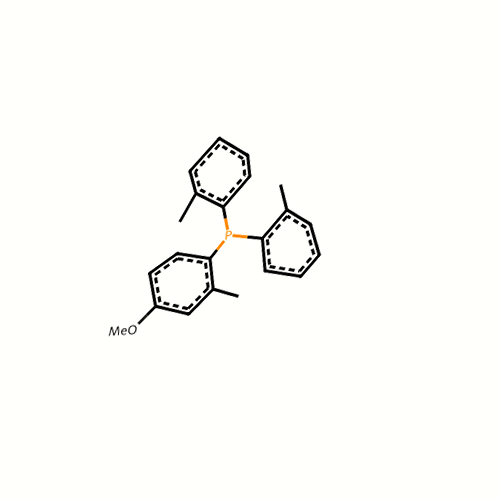 COc1ccc(P(c2ccccc2C)c2ccccc2C)c(C)c1